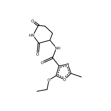 CCOc1oc(C)nc1C(=O)NC1CCC(=O)NC1=O